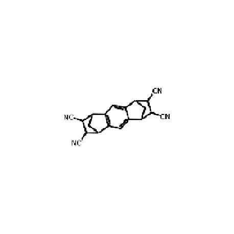 N#CC1C2CC(c3cc4c(cc32)C2CC4C(C#N)C2C#N)C1C#N